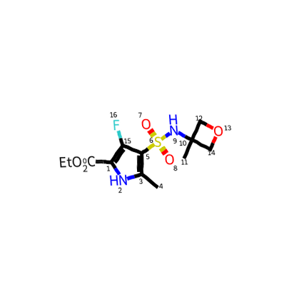 CCOC(=O)c1[nH]c(C)c(S(=O)(=O)NC2(C)COC2)c1F